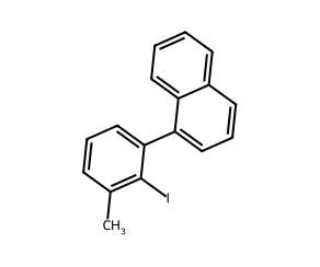 Cc1cccc(-c2cccc3ccccc23)c1I